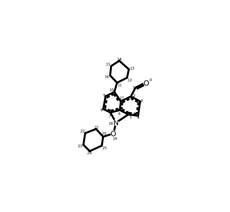 O=Cc1ccc2c3c(ccc(C4CCCCC4)c13)N2OC1CCCCC1